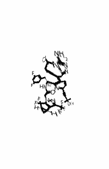 CC(C)(O)C#Cc1ccc(-c2ccc(Cl)n3c(N)nnc23)c([C@H](Cc2cc(F)cc(F)c2)NC(=O)Cn2nc(C(F)(F)F)c3c2C(F)(F)[C@@H]2C[C@H]32)n1